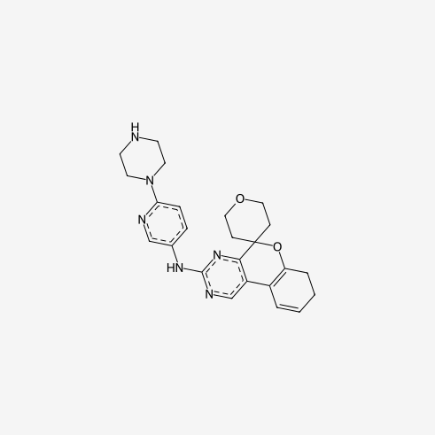 C1=CC2=C(CC1)OC1(CCOCC1)c1nc(Nc3ccc(N4CCNCC4)nc3)ncc12